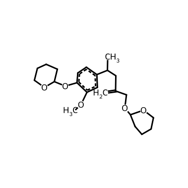 C=C(COC1CCCCO1)CC(C)c1ccc(OC2CCCCO2)c(OC)c1